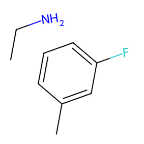 CCN.Cc1cccc(F)c1